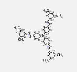 Cc1cc(C)cc(/C=C/c2ccc(N(c3ccc(/C=C/c4cc(C)cc(C)c4)cc3)c3ccc(/C=C/c4cc(C)cc(C)c4)cc3)cc2)c1